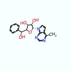 Cc1ncnc2c1ccn2[C@@H]1O[C@@H]([C@@H](O)c2ccccc2)[C@@H](O)[C@H]1O